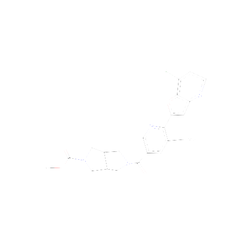 COc1cc(C(=O)N2CC3CN(C(=O)OC(C)(C)C)CC3C2)cnc1-c1cc2nccc(Cl)c2o1